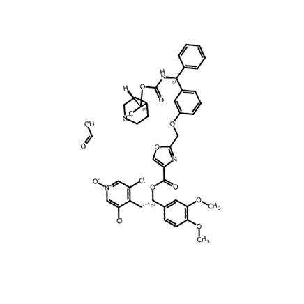 COc1ccc([C@H](Cc2c(Cl)c[n+]([O-])cc2Cl)OC(=O)c2coc(COc3cccc([C@@H](NC(=O)O[C@H]4CN5CCC4CC5)c4ccccc4)c3)n2)cc1OC.O=CO